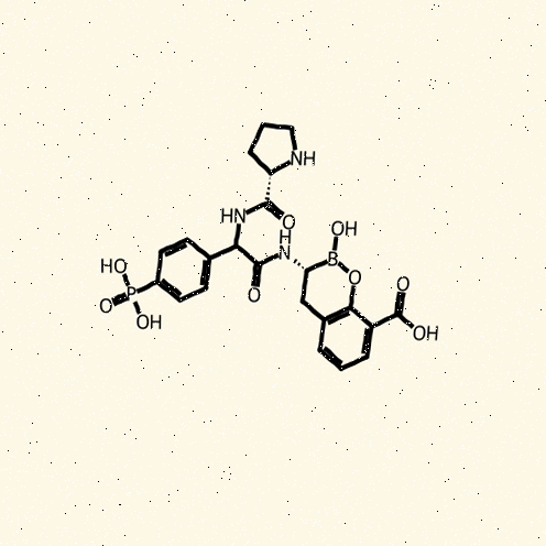 O=C(O)c1cccc2c1OB(O)[C@@H](NC(=O)C(NC(=O)[C@@H]1CCCN1)c1ccc(P(=O)(O)O)cc1)C2